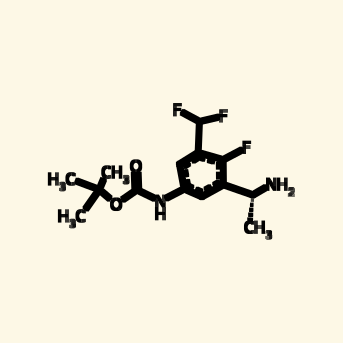 C[C@@H](N)c1cc(NC(=O)OC(C)(C)C)cc(C(F)F)c1F